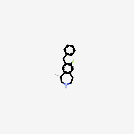 C[C@H]1CNCCc2cc(F)c(Cc3ccccc3)cc21.Cl